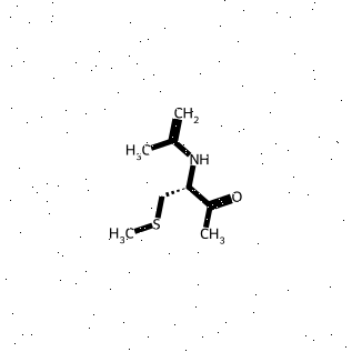 C=C(C)N[C@@H](CSC)C(C)=O